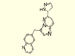 C1=NNC(c2ccc3ncc(Cc4ccc5ncccc5c4)n3n2)C1